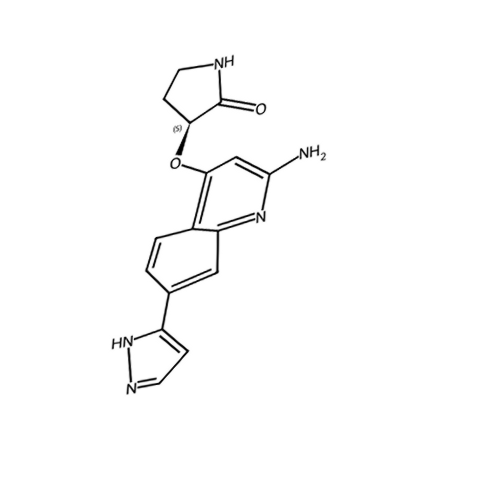 Nc1cc(O[C@H]2CCNC2=O)c2ccc(-c3ccn[nH]3)cc2n1